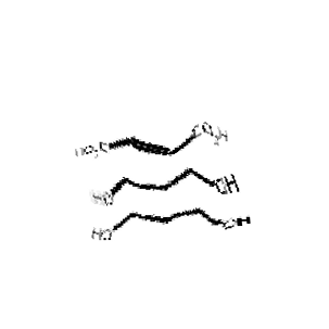 O=C(O)/C=C/C(=O)O.OCCCO.OCCCO